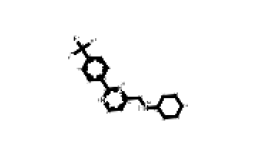 FC(F)(F)c1ccc(-c2nccc(CNC3CCCCC3)n2)cc1